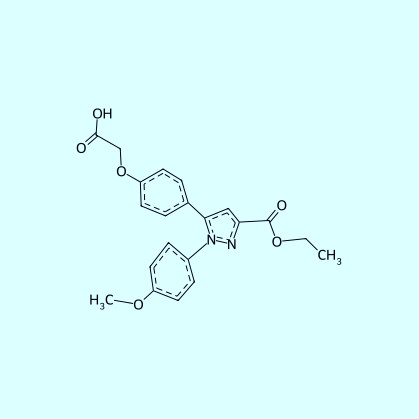 CCOC(=O)c1cc(-c2ccc(OCC(=O)O)cc2)n(-c2ccc(OC)cc2)n1